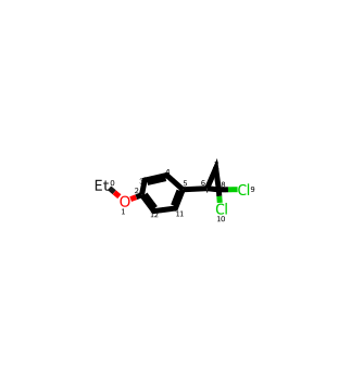 CCOc1ccc([C]2CC2(Cl)Cl)cc1